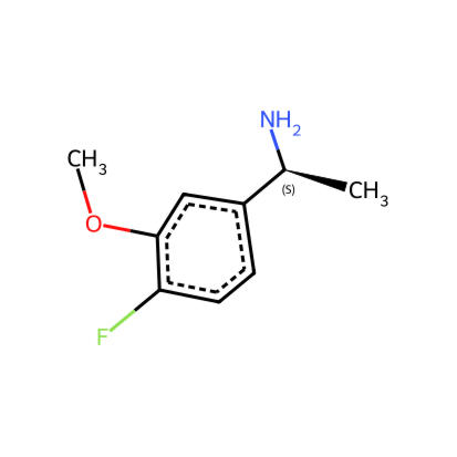 COc1cc([C@H](C)N)ccc1F